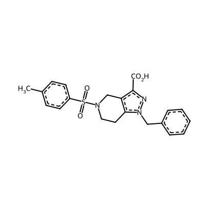 Cc1ccc(S(=O)(=O)N2CCc3c(c(C(=O)O)nn3Cc3ccccc3)C2)cc1